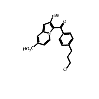 CCCCc1cc2cc(C(=O)O)ccn2c1C(=O)c1ccc(CCCCl)cc1